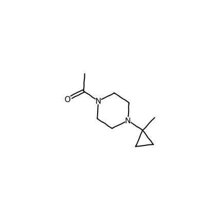 CC(=O)N1CCN(C2(C)CC2)CC1